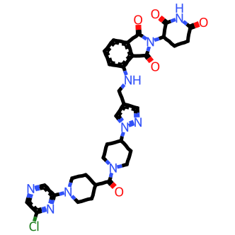 O=C1CCC(N2C(=O)c3cccc(NCc4cnn(C5CCN(C(=O)C6CCN(c7cncc(Cl)n7)CC6)CC5)c4)c3C2=O)C(=O)N1